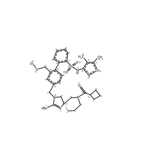 CCCCC1=N[C@@]2(CCCN(C(=O)C3CCC3)C2)CN1Cc1ccc(-c2ccccc2S(=O)(=O)Nc2noc(C)c2C)c(COCC)c1